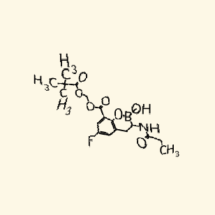 CCC(=O)NC1Cc2cc(F)cc(C(=O)OCOC(=O)C(C)(C)C)c2OB1O